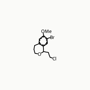 COc1cc2c(cc1Br)C(CCCl)OCCC2